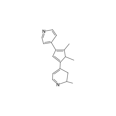 CC1=C(c2ccncc2)C=C(C2=CC=NC(C)C2)C1C